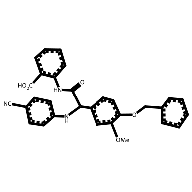 COc1cc(C(Nc2ccc(C#N)cc2)C(=O)Nc2ccccc2C(=O)O)ccc1OCc1ccccc1